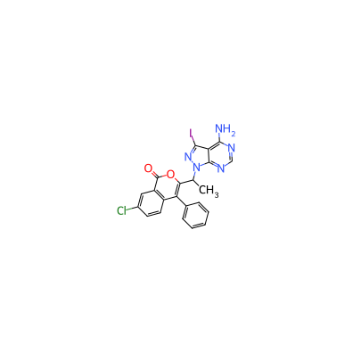 CC(c1oc(=O)c2cc(Cl)ccc2c1-c1ccccc1)n1nc(I)c2c(N)ncnc21